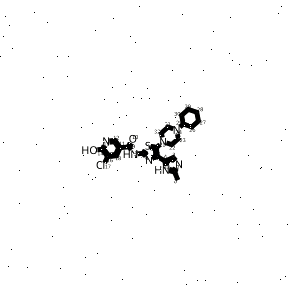 Cc1ncc(-c2nc(NC(=O)c3cnc(O)c(Cl)c3)sc2N2CCN(C3CCCCC3)CC2)[nH]1